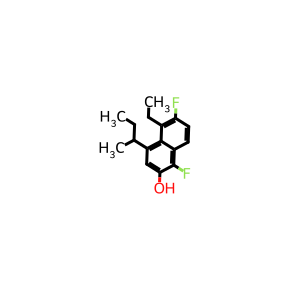 CCc1c(F)ccc2c(F)c(O)cc(C(C)CC)c12